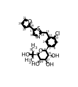 CC(C)(O)[C@H]1O[C@@H](c2ccc(Cl)c(Cc3ncc(-c4ccco4)s3)c2)[C@H](O)[C@@H](O)[C@@H]1O